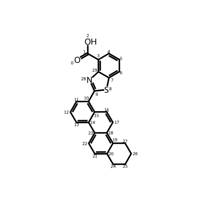 O=C(O)c1cccc2sc(-c3cccc4c3ccc3c5c(ccc34)CCCC5)nc12